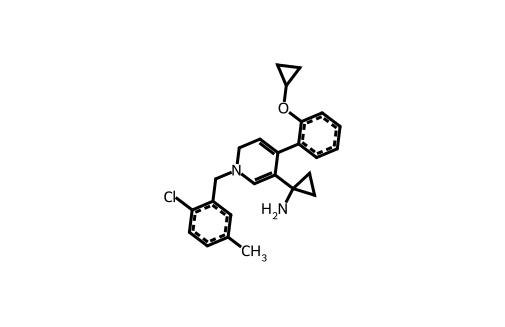 Cc1ccc(Cl)c(CN2C=C(C3(N)CC3)C(c3ccccc3OC3CC3)=CC2)c1